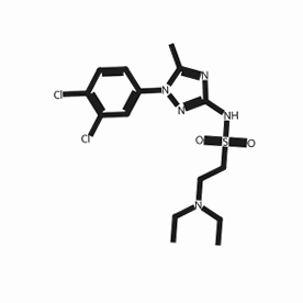 CCN(CC)CCS(=O)(=O)Nc1nc(C)n(-c2ccc(Cl)c(Cl)c2)n1